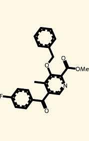 COC(=O)c1ncc(C(=O)c2ccc(F)cc2)c(C)c1OCc1ccccc1